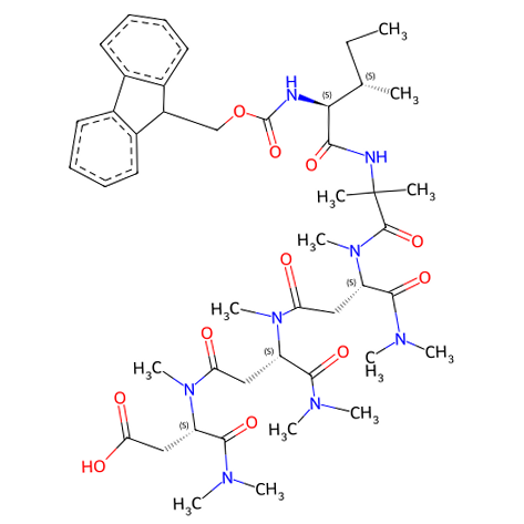 CC[C@H](C)[C@H](NC(=O)OCC1c2ccccc2-c2ccccc21)C(=O)NC(C)(C)C(=O)N(C)[C@@H](CC(=O)N(C)[C@@H](CC(=O)N(C)[C@@H](CC(=O)O)C(=O)N(C)C)C(=O)N(C)C)C(=O)N(C)C